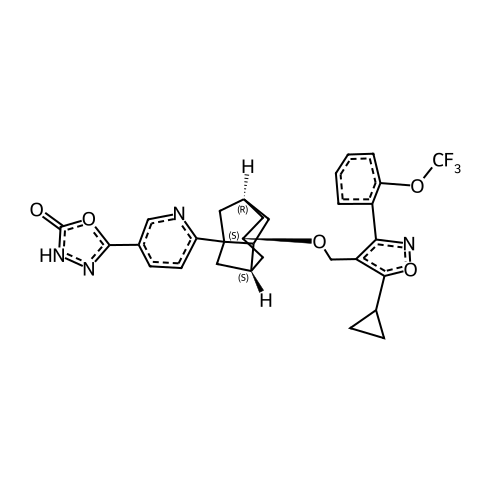 O=c1[nH]nc(-c2ccc(C34C[C@H]5CC3[C@H](C[C@@H](OCc3c(-c6ccccc6OC(F)(F)F)noc3C3CC3)C5)C4)nc2)o1